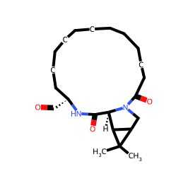 CC1(C)C2CN3C(=O)CCCCCCCCCCC[C@@H](C=O)NC(=O)[C@@H]3C21